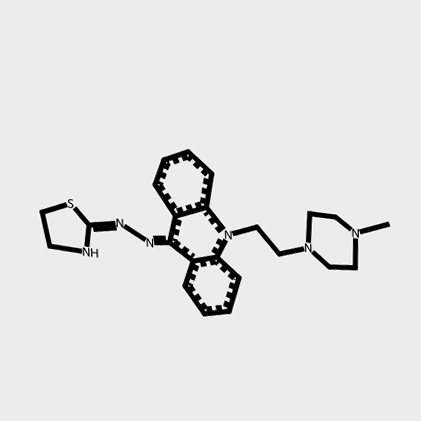 CN1CCN(CCn2c3ccccc3c(=NN=C3NCCS3)c3ccccc32)CC1